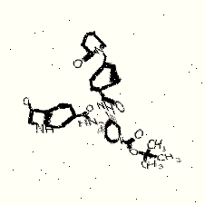 CC(C)(C)OC(=O)N1CC[C@H](NC(=O)c2ccc3c(Cl)c[nH]c3c2)[C@H](NC(=O)c2ccc(N3CCCCC3=O)cc2)C1